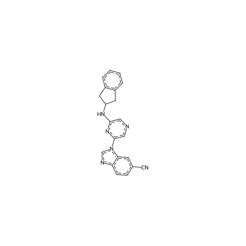 N#Cc1ccc2ncn(-c3cncc(NC4Cc5ccccc5C4)n3)c2c1